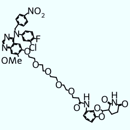 COc1cc2ncnc(N(Cc3ccc([N+](=O)[O-])cc3)c3ccc(F)c(Cl)c3)c2cc1OCCOCCOCCOCCOCCC(=O)Nc1cccc2c1OC(C1CCC(=O)NC1=O)O2